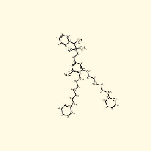 Cc1cc(CCC(C)(C)C(O)c2ccccc2)cc(OCCOCCOC2CCCCO2)c1OCCOCCOC1CCCCO1